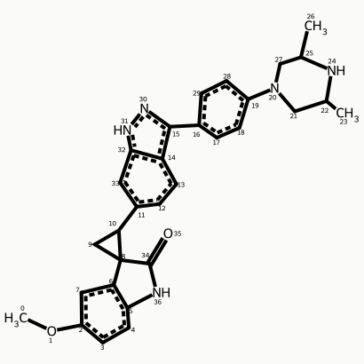 COc1ccc2c(c1)C1(CC1c1ccc3c(-c4ccc(N5CC(C)NC(C)C5)cc4)n[nH]c3c1)C(=O)N2